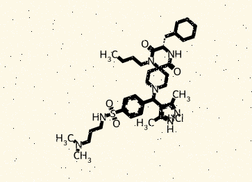 CCCCN1C(=O)[C@H](CC2CCCCC2)NC(=O)C12CCN(C(c1ccc(S(=O)(=O)NCCCN(C)C)cc1)c1c(C)n[nH]c1C)CC2.Cl